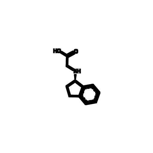 O=C(O)CN[C@H]1CCc2ccccc21